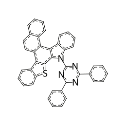 c1ccc(-c2nc(-c3ccccc3)nc(-n3c4ccccc4c4c5c6ccccc6ccc5c5c6ccccc6sc5c43)n2)cc1